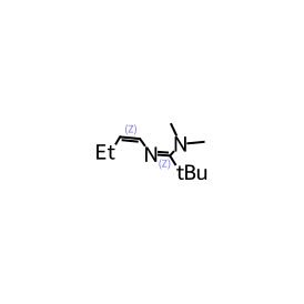 CC/C=C\N=C(/N(C)C)C(C)(C)C